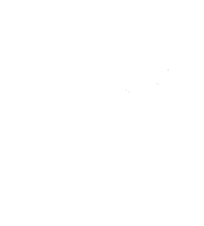 CCOC(=O)c1ccc(-c2ccn3ncc(I)c3n2)cc1